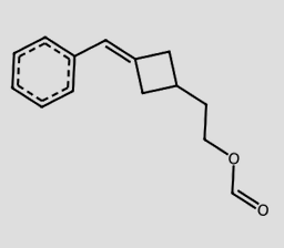 O=COCCC1CC(=Cc2ccccc2)C1